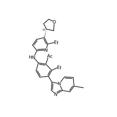 CCc1nc(Nc2ccc(-c3cnc4cc(C)ccn34)c(CC)c2C(C)=O)ccc1[C@@H]1CCOC1